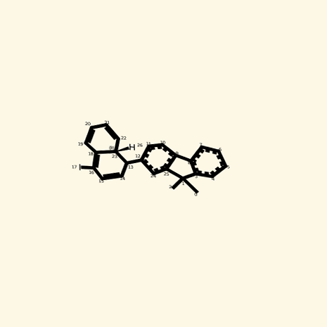 CC1(C)c2ccccc2-c2ccc(C3C=CC(I)=C4C=CC=C[C@@H]43)cc21